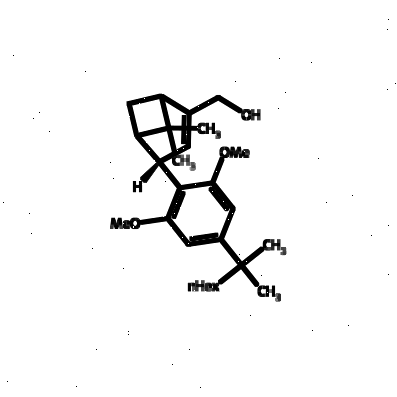 CCCCCCC(C)(C)c1cc(OC)c([C@H]2C=C(CO)C3CC2C3(C)C)c(OC)c1